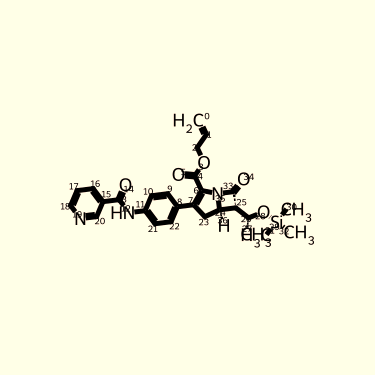 C=CCOC(=O)C1=C(c2ccc(NC(=O)c3cccnc3)cc2)C[C@@H]2[C@@H]([C@@H](C)O[Si](C)(C)C)C(=O)N12